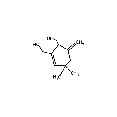 C=C1CC(C)(C)C=C(CO)C1C=O